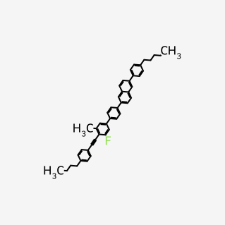 CCCCCc1ccc(-c2ccc3cc(-c4ccc(-c5cc(C)c(C#Cc6ccc(CCCC)cc6)c(F)c5)cc4)ccc3c2)cc1